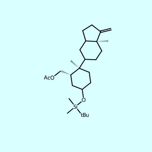 C=C1CCC2CC([C@@]3(C)CCC(O[Si](C)(C)C(C)(C)C)C[C@@H]3COC(C)=O)CC[C@]12C